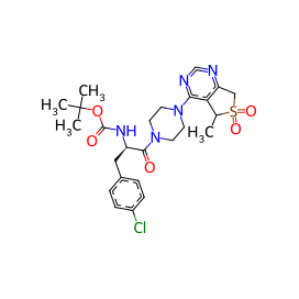 CC1c2c(ncnc2N2CCN(C(=O)[C@@H](Cc3ccc(Cl)cc3)NC(=O)OC(C)(C)C)CC2)CS1(=O)=O